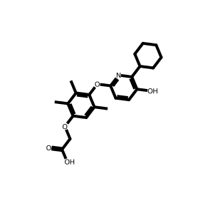 Cc1cc(OCC(=O)O)c(C)c(C)c1Oc1ccc(O)c(C2CCCCC2)n1